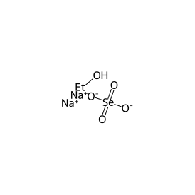 CCO.O=[Se](=O)([O-])[O-].[Na+].[Na+]